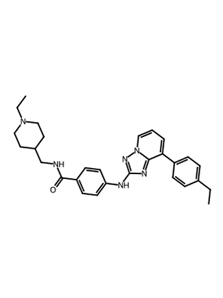 CCc1ccc(-c2cccn3nc(Nc4ccc(C(=O)NCC5CCN(CC)CC5)cc4)nc23)cc1